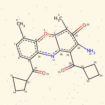 Cc1c2oc3c(C)ccc(C(=O)C4CCC4)c3nc-2c(C(=O)C2CCC2)c(N)c1=O